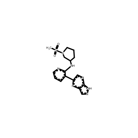 CS(=O)(=O)N1CCCC(Nc2ncccc2-c2cnc3[nH]ncc3n2)C1